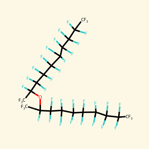 FC(F)(F)C(F)(F)C(F)(F)C(F)(F)C(F)(F)C(F)(F)C(F)(F)C(F)(F)C(F)(OC(F)(C(F)(F)F)C(F)(F)C(F)(F)C(F)(F)C(F)(F)C(F)(F)C(F)(F)C(F)(F)C(F)(F)F)C(F)(F)F